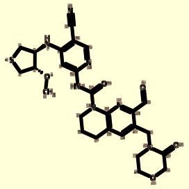 CO[C@@H]1CSC[C@H]1Nc1cc(NC(=O)N2CCCc3cc(CN4CCOCC4=O)c(C=O)nc32)ncc1C#N